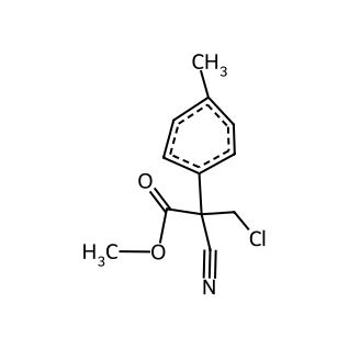 COC(=O)C(C#N)(CCl)c1ccc(C)cc1